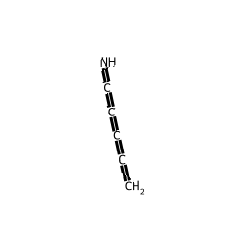 C=C=C=C=C=N